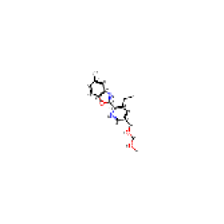 CCc1cc(COCOC)cnc1-c1nc2cc(C)ccc2o1